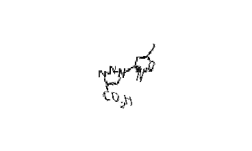 Cc1cc(-n2cc(C(=O)O)nn2)no1